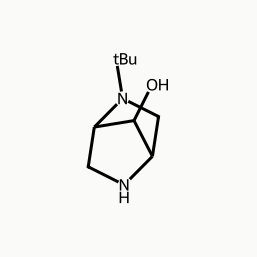 CC(C)(C)N1CC2NCC1C2O